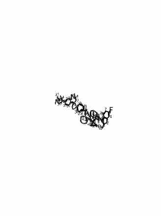 CC1Cc2cc(F)ccc2N1C(=O)C1(C(=O)Nc2ccc(Oc3ccnc4cc(-c5cnn(C)c5)ccc34)cc2)CC1